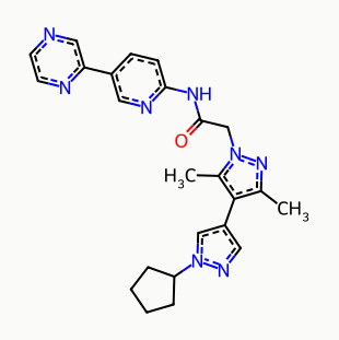 Cc1nn(CC(=O)Nc2ccc(-c3cnccn3)cn2)c(C)c1-c1cnn(C2CCCC2)c1